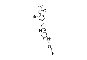 Cc1cc2nc(C=Cc3ccc(OC(=O)N(C)C)c(Br)c3)sc2cc1N(C)CCOCCF